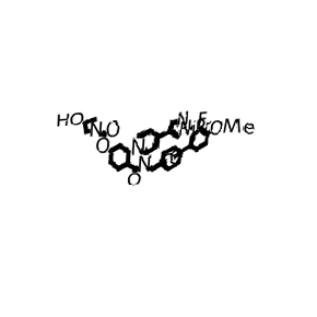 COc1ccc(C23CCC(CN(C(=O)C4CCC(OC(=O)N5CC(O)C5)CC4)c4cc(-c5cnn(C(C)C)c5)ccn4)(CC2)CC3)cc1F